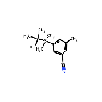 [CH2]c1cc(C#N)cc([Si](C)(C)C(C)(C)C)c1